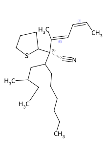 C/C=C\C=C(/C)[C@@](C#N)(C(CCCCCC)CC(C)CC)C1CCCS1